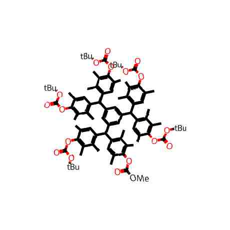 COC(=O)Oc1c(C)cc(C(c2cc(C(c3cc(C)c(OC(=O)OC(C)(C)C)c(C)c3C)c3cc(C)c(OC(=O)OC(C)(C)C)c(C)c3C)cc(C(c3cc(C)c(OC(=O)OC(C)(C)C)c(C)c3C)c3cc(C)c(OC(=O)OC(C)(C)C)c(C)c3C)c2)c2cc(C)c(OC(=O)OC(C)(C)C)c(C)c2C)c(C)c1C